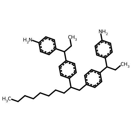 CCCCCCCCC(Cc1ccc(C(CC)c2ccc(N)cc2)cc1)c1ccc(C(CC)c2ccc(N)cc2)cc1